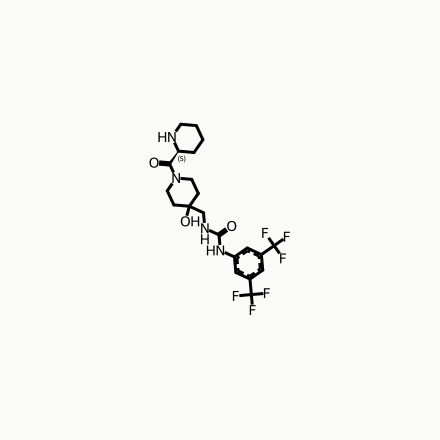 O=C(NCC1(O)CCN(C(=O)[C@@H]2CCCCN2)CC1)Nc1cc(C(F)(F)F)cc(C(F)(F)F)c1